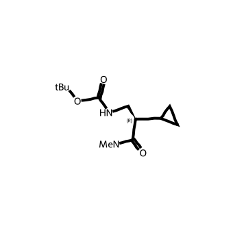 CNC(=O)[C@@H](CNC(=O)OC(C)(C)C)C1CC1